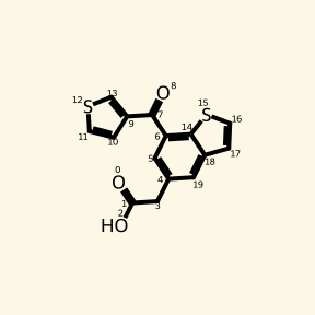 O=C(O)Cc1cc(C(=O)c2ccsc2)c2sccc2c1